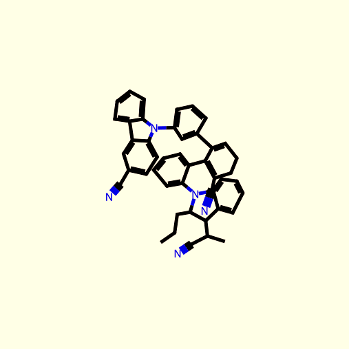 CCCC1C(C(C)C#N)c2ccccc2N1c1ccccc1C1=C(C#N)CCC=C1c1cccc(-n2c3ccccc3c3cc(C#N)ccc32)c1